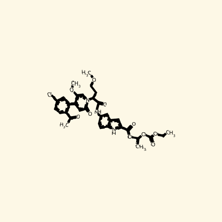 CCOC(=O)OC(C)OC(=O)c1cc2cc(NC(=O)C(CCOC)n3cc(OC)c(-c4cc(Cl)ccc4C(C)=O)cc3=O)ccc2[nH]1